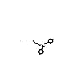 O=C(O)CCCc1nc2ccccc2c2nc(-c3ccc(F)cc3)nn12